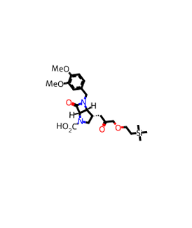 COc1ccc(CN2C(=O)[C@@H]3[C@H]2[C@H](CC(=O)COCC[Si](C)(C)C)CN3C(=O)O)cc1OC